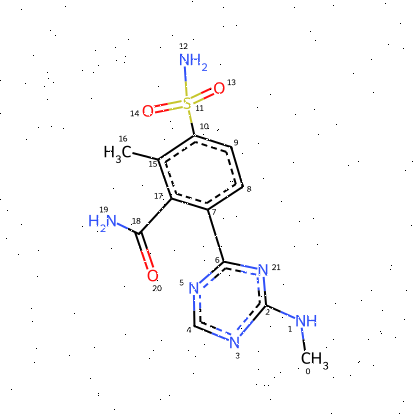 CNc1ncnc(-c2ccc(S(N)(=O)=O)c(C)c2C(N)=O)n1